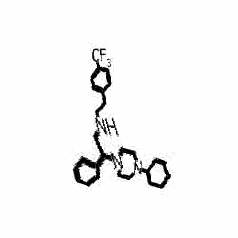 FC(F)(F)c1ccc(CCNCC(c2ccccc2)N2CCN(C3CCCCC3)CC2)cc1